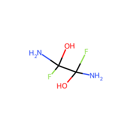 NC(O)(F)C(N)(O)F